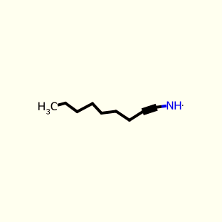 CCCCCCCC#C[NH]